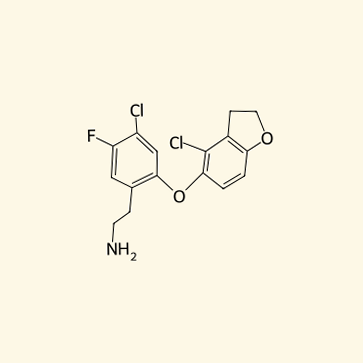 NCCc1cc(F)c(Cl)cc1Oc1ccc2c(c1Cl)CCO2